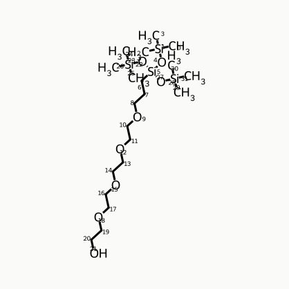 C[Si](C)(C)O[Si](CCCOCCOCCOCCOCCO)(O[Si](C)(C)C)O[Si](C)(C)C